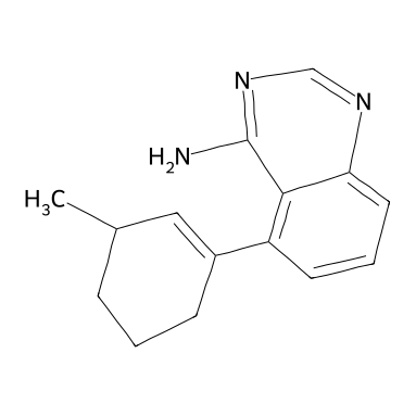 CC1C=C(c2cccc3ncnc(N)c23)CCC1